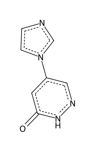 O=c1cc(-n2ccnc2)cn[nH]1